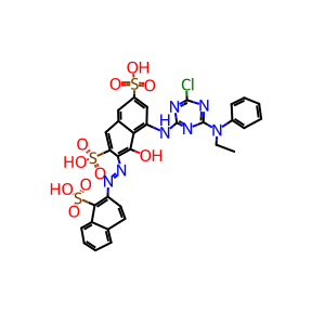 CCN(c1ccccc1)c1nc(Cl)nc(Nc2cc(S(=O)(=O)O)cc3cc(S(=O)(=O)O)c(N=Nc4ccc5ccccc5c4S(=O)(=O)O)c(O)c23)n1